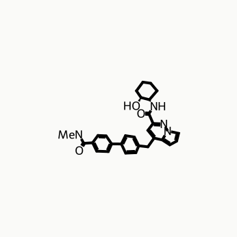 CNC(=O)c1ccc(-c2ccc(Cc3cc(C(=O)N[C@H]4CCCC[C@@H]4O)nn4cccc34)cc2)cc1